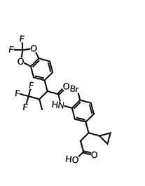 CC(C(C(=O)Nc1cc(C(CC(=O)O)C2CC2)ccc1Br)c1ccc2c(c1)OC(F)(F)O2)C(F)(F)F